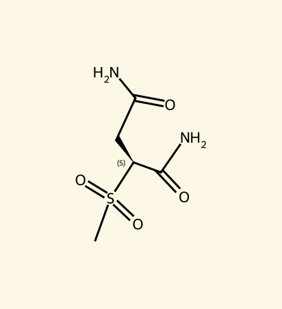 CS(=O)(=O)[C@@H](CC(N)=O)C(N)=O